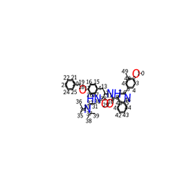 COc1ccc(-c2cc(C(=O)NC(Cc3ccc(OCc4ccccc4)cc3)C(=O)NCCN(C(C)C)C(C)C)c3ccccc3n2)cc1C